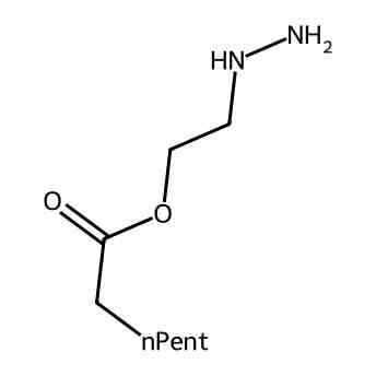 CCCCCCC(=O)OCCNN